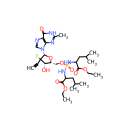 C#CC1(F)[C@@H](O)[C@@H](COP(=O)(NC(CC(C)C)C(=O)OCC)NC(CC(C)C)C(=O)OCC)O[C@H]1n1cnc2c(=O)[nH]c(C)nc21